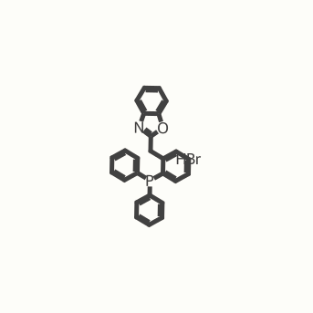 Br.c1ccc(P(c2ccccc2)c2ccccc2Cc2nc3ccccc3o2)cc1